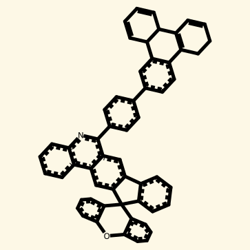 C1=CC2C3=C(CCC=C3)c3ccc(-c4ccc(-c5nc6ccccc6c6cc7c(cc56)-c5ccccc5C75c6ccccc6Oc6ccccc65)cc4)cc3C2C=C1